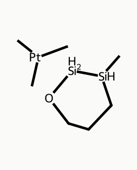 C[SiH]1CCCO[SiH2]1.[CH3][Pt]([CH3])[CH3]